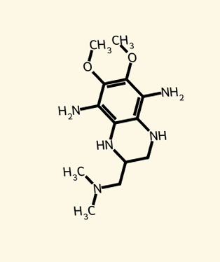 COc1c(N)c2c(c(N)c1OC)NC(CN(C)C)CN2